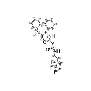 CN1C(=O)[C@@H](NC(=O)CC(=O)NCCC(F)(F)C(F)(F)F)c2ccccc2-c2ccccc21